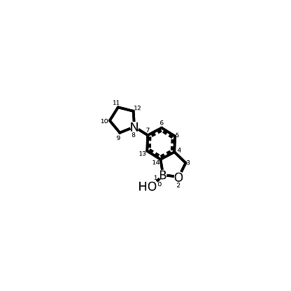 OB1OCc2ccc(N3CCCC3)cc21